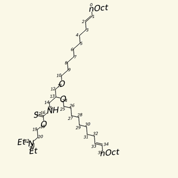 CCCCCCCCC=CCCCCCCCCOCC(CNC(=S)OCCN(CC)CC)OCCCCCCCCC=CCCCCCCCC